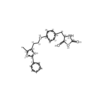 Cc1oc(-c2ccccc2)nc1CCOc1ccc(CC2NC(=O)OC2=O)cc1